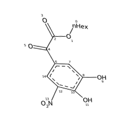 CCCCCCOC(=O)C(=O)c1cc(O)c(O)c([N+](=O)[O-])c1